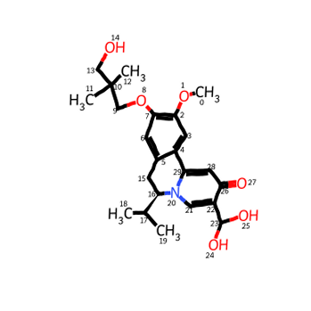 COc1cc2c(cc1OCC(C)(C)CO)C[C@H](C(C)C)n1cc(C(O)O)c(=O)cc1-2